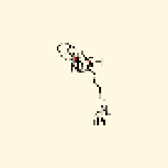 CC(C)CN(C)CCCCCc1cnc(N2C3CCC2CN(C(C)S)C3)nc1